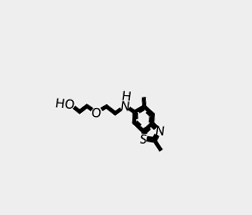 Cc1nc2cc(C)c(NCCOCCO)cc2s1